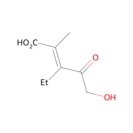 CC/C(C(=O)CO)=C(/C)C(=O)O